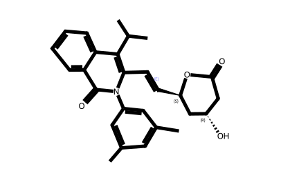 Cc1cc(C)cc(-n2c(/C=C/[C@@H]3C[C@@H](O)CC(=O)O3)c(C(C)C)c3ccccc3c2=O)c1